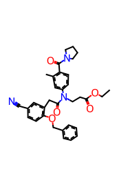 CCOC(=O)CCN(C(=O)Cc1cc(C#N)ccc1OCc1ccccc1)c1ccc(C(=O)N2CCCC2)c(C)c1